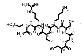 CC(C)C[C@H](NC(=O)[C@H](CCCCN)NC(=O)C(NC(=O)[C@H](C)NC(=O)[C@@H](C)CC(C)C)[C@@H](C)O)C(=O)N[C@@H](CCCNC(=N)N)C(=O)N[C@@H](CCC(=O)O)C(N)=O